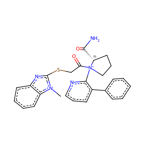 Cn1c(SCC(=O)[N+]2(c3ncccc3-c3ccccc3)CCC[C@H]2C(N)=O)nc2ccccc21